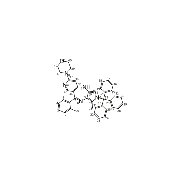 Cc1ccccc1C1=Nc2c(nn(C(c3ccccc3)(c3ccccc3)c3ccccc3)c2C)Nc2cc(N3CCOCC3)ncc21